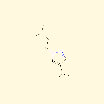 CC(C)CCn1cc(C(C)C)cn1